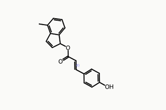 Cc1cccc2c1C=CC2OC(=O)/C=C/c1ccc(O)cc1